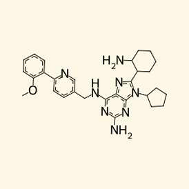 COc1ccccc1-c1ccc(CNc2nc(N)nc3c2nc(C2CCCCC2N)n3C2CCCC2)cn1